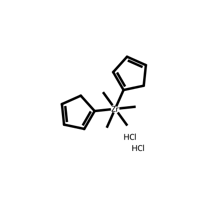 Cl.Cl.[CH3][Zr]([CH3])([CH3])([CH3])([C]1=CC=CC1)[C]1=CC=CC1